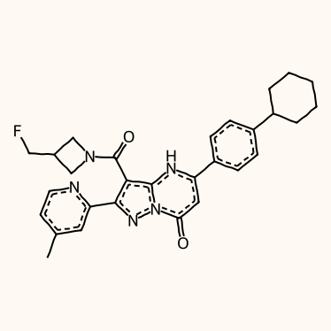 Cc1ccnc(-c2nn3c(=O)cc(-c4ccc(C5CCCCC5)cc4)[nH]c3c2C(=O)N2CC(CF)C2)c1